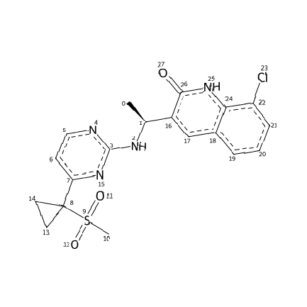 C[C@H](Nc1nccc(C2(S(C)(=O)=O)CC2)n1)c1cc2cccc(Cl)c2[nH]c1=O